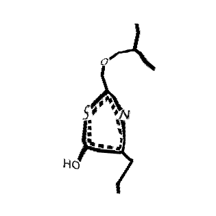 CCc1nc(OC(C)C)sc1O